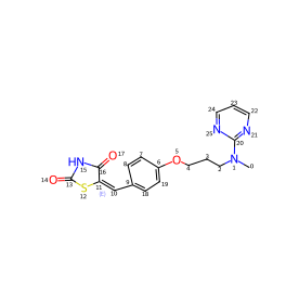 CN(CCCOc1ccc(/C=C2/SC(=O)NC2=O)cc1)c1ncccn1